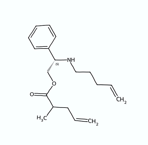 C=CCCCN[C@H](COC(=O)C(C)CC=C)c1ccccc1